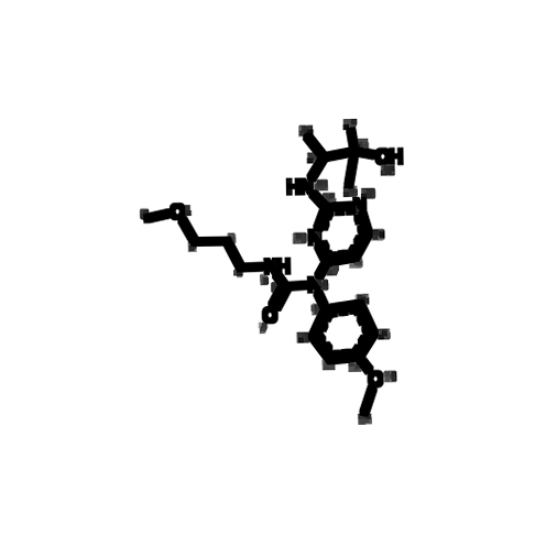 COCCCNC(=O)N(c1ccc(OC)cc1)c1ccnc(NC(C)C(C)(C)O)n1